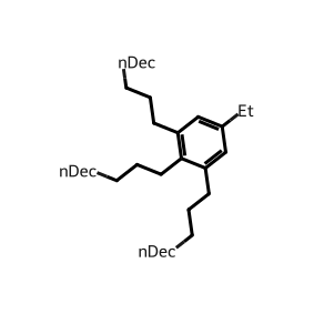 CCCCCCCCCCCCCc1cc(CC)cc(CCCCCCCCCCCCC)c1CCCCCCCCCCCCC